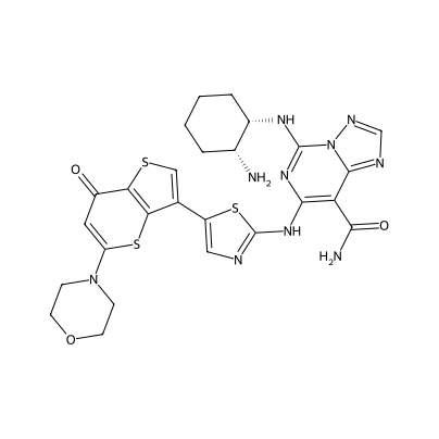 NC(=O)c1c(Nc2ncc(-c3csc4c(=O)cc(N5CCOCC5)sc34)s2)nc(N[C@H]2CCCC[C@H]2N)n2ncnc12